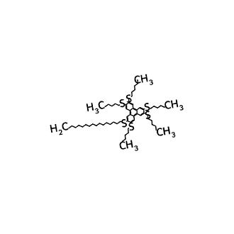 C=CCCCCCCCCCCCCCCCSc1cc2c3cc(SCCCCCC)c(SCCCCCC)cc3c3cc(SCCCCCC)c(SCCCCCC)cc3c2cc1SCCCCCC